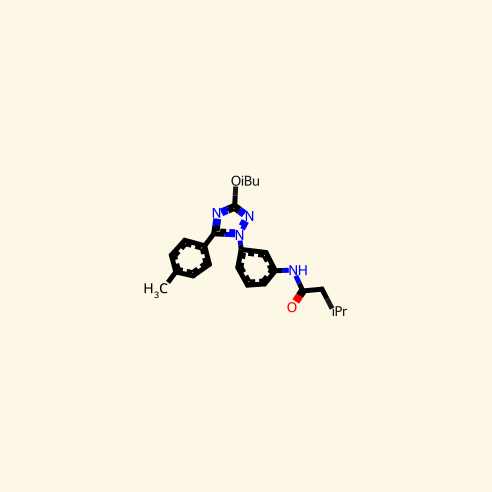 Cc1ccc(-c2nc(OCC(C)C)nn2-c2cccc(NC(=O)CC(C)C)c2)cc1